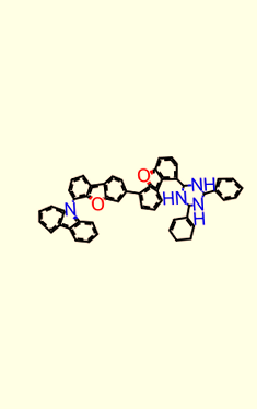 C1=CC(C2NC(c3ccccc3)NC(c3cccc4oc5c(-c6ccc7c(c6)oc6c(-n8c9ccccc9c9ccccc98)cccc67)cccc5c34)N2)=CCC1